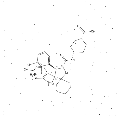 CCc1c(Cl)cccc1[C@H]1[C@H](C(=O)N[C@H]2CC[C@@H](C(=O)O)CC2)NC2(CCCCC2)[C@@]12C(=O)Nc1cc(Cl)ccc12